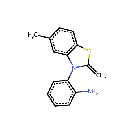 C=C1Sc2ccc(C)cc2N1c1ccccc1N